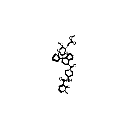 COC(=O)CC[C@H](NC(=O)[C@@]1(c2ccccc2)CC[C@H](C(=O)N2CCC(NC(=O)c3cccn(C)c3=O)CC2)c2ccccc21)C(=O)OC